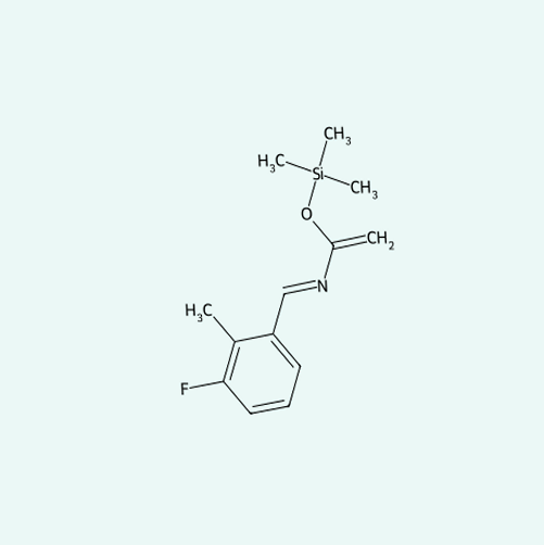 C=C(/N=C/c1cccc(F)c1C)O[Si](C)(C)C